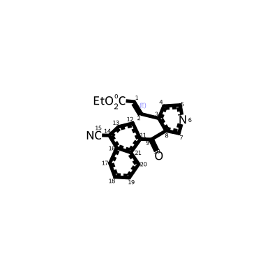 CCOC(=O)/C=C/c1ccncc1C(=O)c1ccc(C#N)c2ccccc12